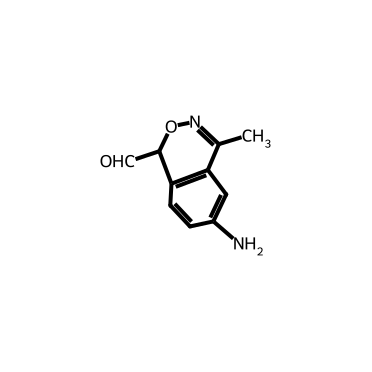 CC1=NOC(C=O)c2ccc(N)cc21